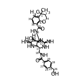 CC1(C)CCOc2c(C(=O)NC3CN4C(=N)N[C@@H](CNC(=O)c5ccc(CO)cc5)C5NC(=N)NC54[C@@H]3O)cccc21